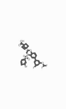 O=C(O)C12CCC([C@H]3CN(S(=O)(=O)c4cccc(Br)c4)c4cc(-c5cc(F)cc(OC(F)F)c5)ccc4O3)(CC1)C2